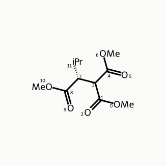 COC(=O)C(C(=O)OC)[C@H](C(=O)OC)C(C)C